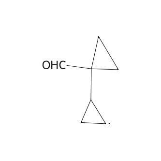 O=CC1(C2[CH]C2)CC1